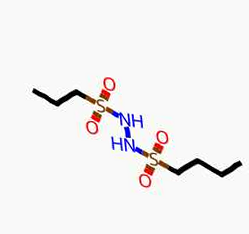 CCCCS(=O)(=O)NNS(=O)(=O)CCC